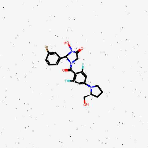 O=C1CN(C(=O)c2c(F)cc(N3CCC[C@H]3CO)cc2F)C(c2cccc(Br)c2)N1O